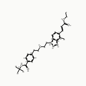 CCOC(=O)/C=C/c1ccc2c(nnn2CCOCCc2ccc(C(=O)OC(C)(C)C)cc2)c1C